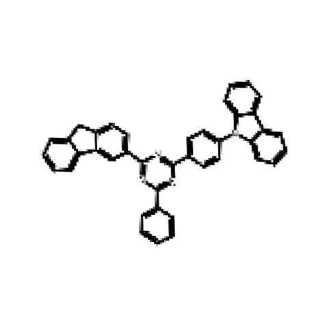 c1ccc(-c2nc(-c3ccc(-n4c5ccccc5c5ccccc54)cc3)nc(-c3ccc4c(c3)-c3ccccc3C4)n2)cc1